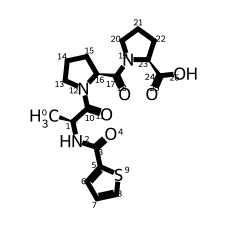 C[C@H](NC(=O)c1cccs1)C(=O)N1CCC[C@H]1C(=O)N1CCC[C@H]1C(=O)O